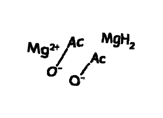 CC(=O)[O-].CC(=O)[O-].[Mg+2].[MgH2]